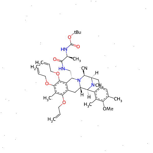 C=CCOc1c(C)c(OCC=C)c(OCC=C)c2c1C[C@H]1[C@@H]3c4c(cc(C)c(OC)c4C)C[C@H]([C@H](C#N)N1[C@H]2CNC(=O)[C@H](C)NC(=O)OC(C)(C)C)N3C